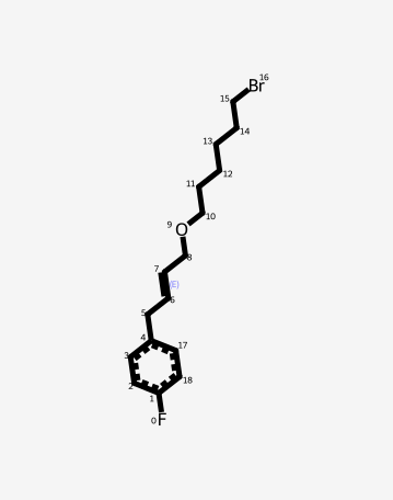 Fc1ccc(C/C=C/COCCCCCCBr)cc1